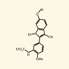 CCOC(=O)Nc1cc(-c2c(C#N)c3ccc(OC(C)C)cc3n2CC)ccc1OC